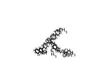 CCCC(C)(C)C(=O)OCn1cc2cc(C[C@@H](NC(=O)N3CCC(c4cc5ccccc5[nH]c4=O)CC3)C(=O)N3CCN(C4CCN(C)CC4)CC3)cc(C)c2n1